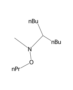 CCCCC(CCCC)N(C)OCCC